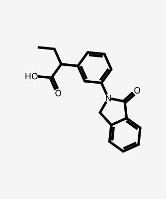 CCC(C(=O)O)c1cccc(N2Cc3ccccc3C2=O)c1